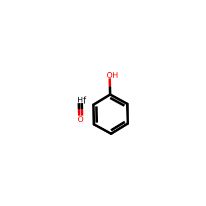 Oc1ccccc1.[O]=[Hf]